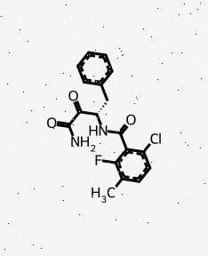 Cc1ccc(Cl)c(C(=O)N[C@@H](Cc2ccccc2)C(=O)C(N)=O)c1F